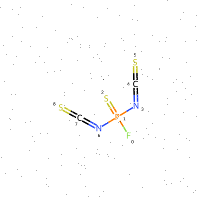 FP(=S)(N=C=S)N=C=S